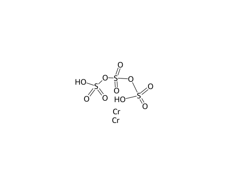 O=S(=O)(O)OS(=O)(=O)OS(=O)(=O)O.[Cr].[Cr]